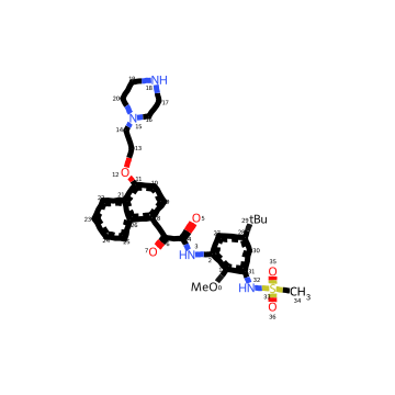 COc1c(NC(=O)C(=O)c2ccc(OCCN3CCNCC3)c3ccccc23)cc(C(C)(C)C)cc1NS(C)(=O)=O